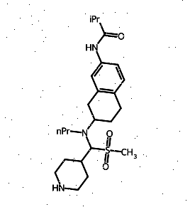 CCCN(C1CCc2ccc(NC(=O)C(C)C)cc2C1)C(C1CCNCC1)S(C)(=O)=O